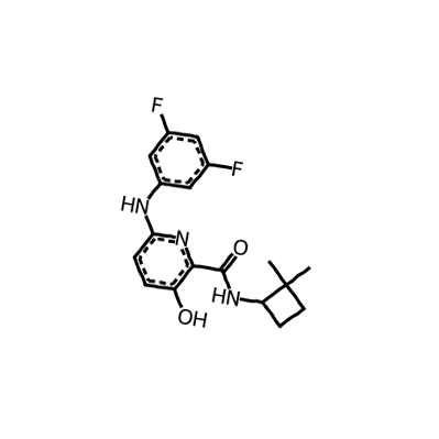 CC1(C)CCC1NC(=O)c1nc(Nc2cc(F)cc(F)c2)ccc1O